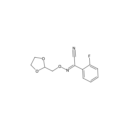 N#CC(=NOCC1OCCO1)c1ccccc1F